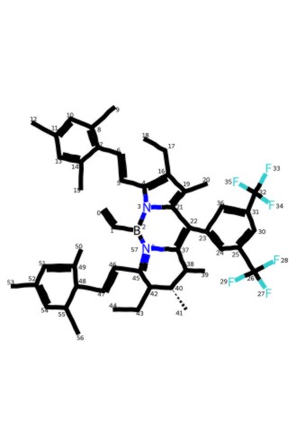 C=CB1n2c(/C=C/c3c(C)cc(C)cc3C)c(CC)c(C)c2C(c2cc(C(F)(F)F)cc(C(F)(F)F)c2)=C2C(C)[C@H](C)C(CC)C(/C=C/C3C(C)=CC(C)=CC3C)=[N+]12